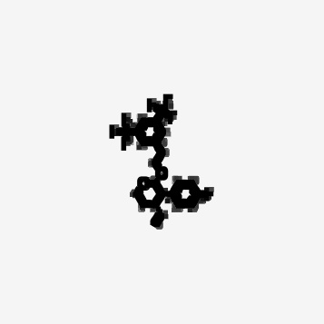 C=C[C@@H]1CCO[C@H](OCCc2cc(C(F)(F)F)cc(C(F)(F)F)c2)[C@H]1c1ccc(F)cc1